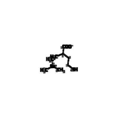 CC(CCS)C(=O)[O-].[CH3][Sn+]([CH3])[CH3]